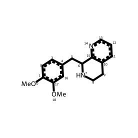 COc1ccc(CC2NCCc3cccnc32)cc1OC